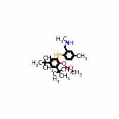 CNCc1cc(C)ccc1Pc1cc(C(C)(C)C)cc(C(C)(C)C)c1OCOC